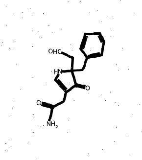 NC(=O)CC1=CNC(CC=O)(Cc2ccccc2)C1=O